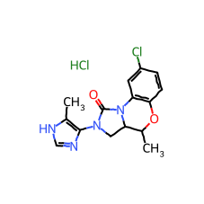 Cc1[nH]cnc1N1CC2C(C)Oc3ccc(Cl)cc3N2C1=O.Cl